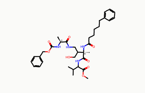 COC(=O)C(NC(=O)[C@](C)(NC(=O)CCCCCc1ccccc1)C(CO)CNC(=O)[C@H](C)NC(=O)OCc1ccccc1)C(C)C